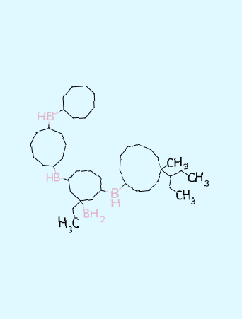 BC1(CC)CC(BC2CCCCC(BC3CCCCCCC3)CCC2)CCCC(BC2CCCCCCC(C)(C(CC)CC)CCC2)C1